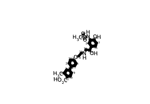 Cc1cc(-c2ccc(OCCNC[C@@H](O)c3ccc(O)c(NS(C)(=O)=O)c3)cc2)ccc1C(=O)O